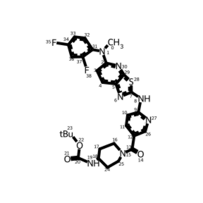 CN(c1ccc2nc(Nc3ccc(C(=O)N4CCC(NC(=O)OC(C)(C)C)CC4)cn3)sc2n1)c1ccc(F)cc1F